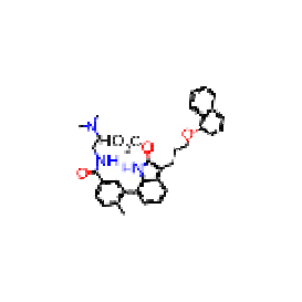 Cc1ccc(C(=O)NCCN(C)C)cc1-c1cccc2c(CCCOc3cccc4ccccc34)c(OC(=O)O)[nH]c12